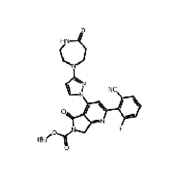 CC(C)(C)OC(=O)N1Cc2nc(-c3c(F)cccc3C#N)cc(-n3ccc(N4CCNC(=O)CC4)n3)c2C1=O